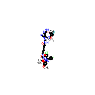 COc1ccc(C2=N[C@H](c3ccc(Cl)cc3)[C@H](c3ccc(Cl)cc3)N2C(=O)N2CCN(CCCCCCCCC(=O)NCCn3nc(C#N)c4c3CN(C)C(=O)c3ccc(F)cc3[C@@H](C)Oc3cc-4cnc3N)C(=O)C2)c(OC(C)C)c1